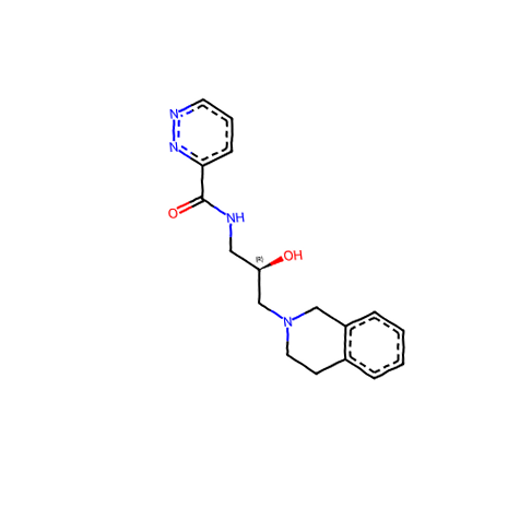 O=C(NC[C@@H](O)CN1CCc2ccccc2C1)c1cccnn1